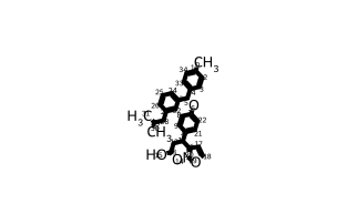 Cc1ccc([C@H](Oc2ccc(C(CC(=O)O)c3ccon3)cc2)c2cccc(CC(C)C)c2)cc1